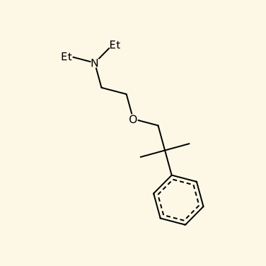 CCN(CC)CCOCC(C)(C)c1ccccc1